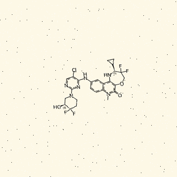 Cn1c(=O)c2c(c3cc(Nc4nc(N5CCC(F)(F)[C@@H](O)C5)ncc4Cl)ccc31)N[C@@H](C1CC1)C(F)(F)CO2